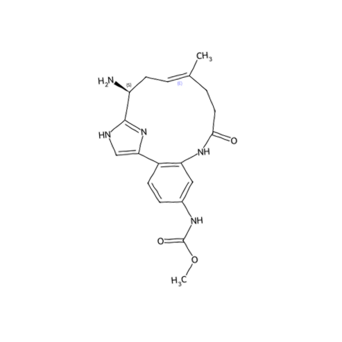 COC(=O)Nc1ccc2c(c1)NC(=O)CC/C(C)=C/C[C@H](N)c1nc-2c[nH]1